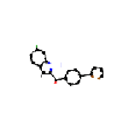 CC(=O)Oc1c(C(=O)c2ccc(-c3cccs3)cc2)[nH]c2cc(Cl)ccc12